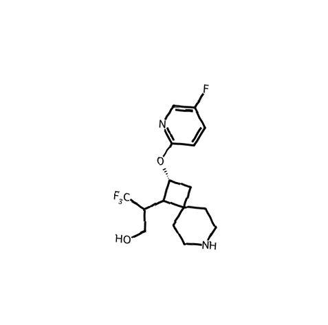 OCC(C1[C@H](Oc2ccc(F)cn2)CC12CCNCC2)C(F)(F)F